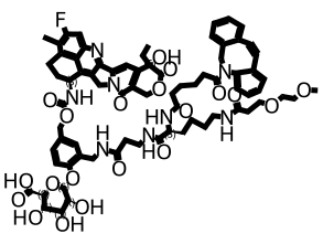 CC[C@@]1(O)C(=O)OCc2c1cc1n(c2=O)Cc2c-1nc1cc(F)c(C)c3c1c2[C@@H](NC(=O)OCc1ccc(O[C@@H]2O[C@H](C(=O)O)[C@@H](O)[C@H](O)[C@H]2O)c(CNC(=O)CCNC(=O)[C@H](CCCCNC(=O)CCOCCOC)NC(=O)CCCCC(=O)N2Cc4ccccc4C#Cc4ccccc42)c1)CC3